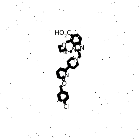 Cc1c(C(=O)O)ccc2nc(CN3CC=C(c4cccc(OCc5ccc(Cl)cc5)n4)CC3)n(C[C@@H]3CCO3)c12